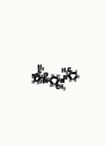 Cc1ccccc1/N=N/c1ccc(NC(=O)c2ccnn2C)cc1C